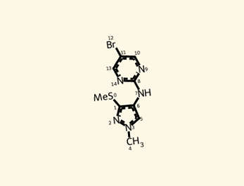 CSc1nn(C)cc1Nc1ncc(Br)cn1